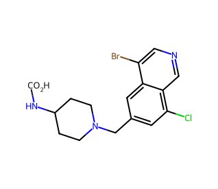 O=C(O)NC1CCN(Cc2cc(Cl)c3cncc(Br)c3c2)CC1